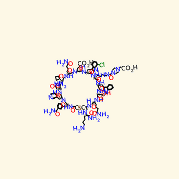 C[C@@H](O)[C@@H]1NC(=O)[C@H](Cc2cn(C)c3ccccc23)NC(=O)[C@H](CCCCNC(=O)N2CCN(CC(=O)O)CC2)NC(=O)[C@H](Cc2cn(C)c3c(Cl)cccc23)NC(=O)[C@H](CCC(=O)O)N(C)C(=O)[C@H](CCCC(N)=O)NC(=O)[C@H](C2CCC2)NC(=O)[C@H](CC(N)=O)NC(=O)[C@H](Cc2cccnc2)N(C)C(=O)[C@@H](Cc2cccc(C(N)=O)c2)NC(=O)CSCC(CN[C@H](CCCCN)C(N)=O)NC(=O)[C@H](CCCC(N)=O)NC1=O